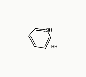 [HH].c1cc[siH]cc1